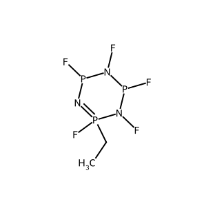 CCP1(F)=NP(F)N(F)P(F)N1F